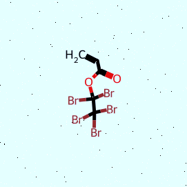 C=CC(=O)OC(Br)(Br)C(Br)(Br)Br